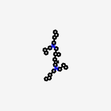 CC1(C)c2cc(-c3ccc(-c4cccc(N(c5ccc(-c6ccc7c(ccc8ccccc87)c6)cc5)c5ccc(-c6cccc7ccccc67)cc5)c4)c4ccccc34)ccc2-c2ccc(N(c3ccc(-c4ccc5c(ccc6ccccc65)c4)cc3)c3cccc(-c4cccc5ccccc45)c3)cc21